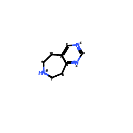 c1ncc2c(n1)CCNCC2